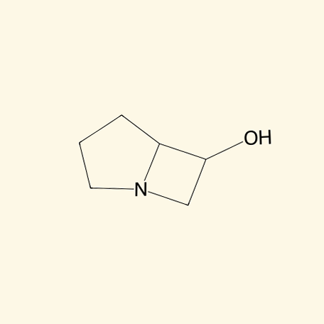 OC1CN2CCCC12